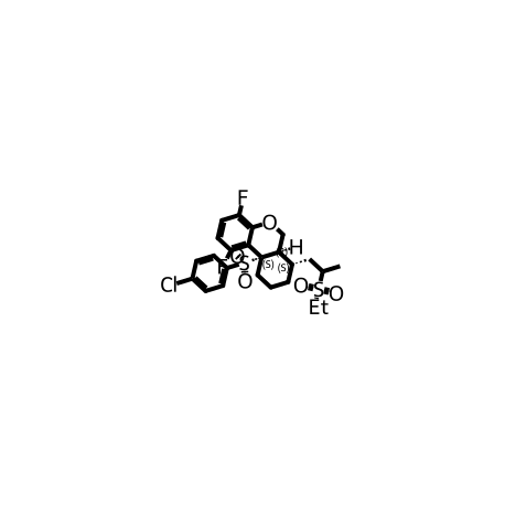 CCS(=O)(=O)C(C)C[C@@H]1CCC[C@@]2(S(=O)(=O)c3ccc(Cl)cc3)c3c(F)ccc(F)c3OC[C@@H]12